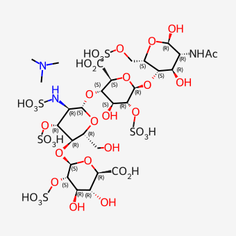 CC(=O)N[C@@H]1[C@@H](O)[C@H](O[C@@H]2O[C@H](C(=O)O)[C@@H](O[C@@H]3O[C@H](CO)[C@@H](O[C@H]4O[C@@H](C(=O)O)[C@H](O)[C@@H](O)[C@@H]4OS(=O)(=O)O)[C@H](OS(=O)(=O)O)[C@H]3NS(=O)(=O)O)[C@H](O)[C@H]2OS(=O)(=O)O)[C@H](COS(=O)(=O)O)O[C@H]1O.CN(C)C